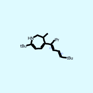 CC1CNC(C(C)(C)C)=CC=C1/C(=C/C=C/C(C)(C)C)C(C)C